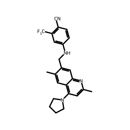 Cc1cc(N2CCCC2)c2cc(C)c(CNc3ccc(C#N)c(C(F)(F)F)c3)cc2n1